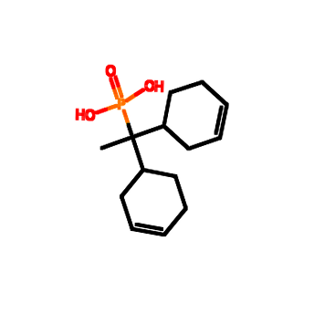 CC(C1CC=CCC1)(C1CC=CCC1)P(=O)(O)O